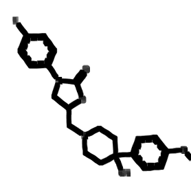 COc1ccc(C2(O)CCN(CC3CN(c4ccc(F)cc4)C(=O)O3)CC2)cc1